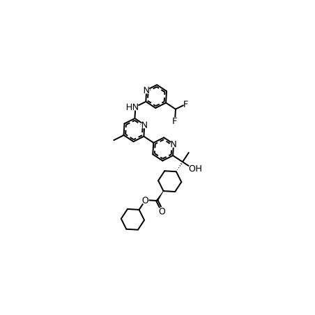 Cc1cc(Nc2cc(C(F)F)ccn2)nc(-c2ccc(C(C)(O)[C@H]3CC[C@H](C(=O)OC4CCCCC4)CC3)nc2)c1